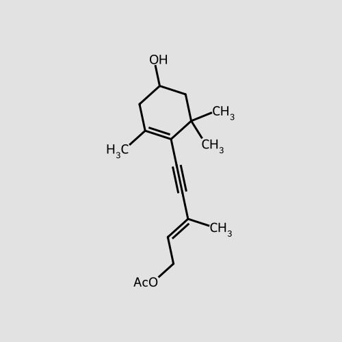 CC(=O)OC/C=C(\C)C#CC1=C(C)CC(O)CC1(C)C